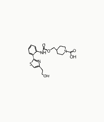 O=C(Nc1ccccc1-c1nc(CCO)cs1)OCC1CCN(C(=O)O)CC1